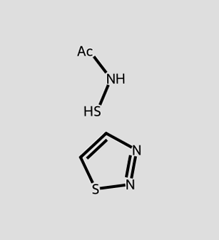 CC(=O)NS.c1csnn1